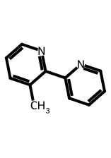 Cc1cccnc1-c1ccccn1